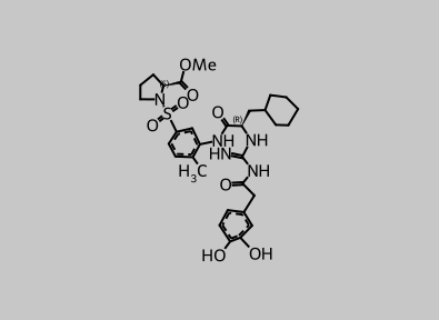 COC(=O)[C@@H]1CCCN1S(=O)(=O)c1ccc(C)c(NC(=O)[C@@H](CC2CCCCC2)NC(=N)NC(=O)Cc2ccc(O)c(O)c2)c1